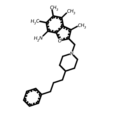 Cc1c(C)c(C)c2c(C)c(CN3CCC(CCCc4ccccc4)CC3)oc2c1N